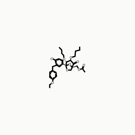 CCCCO[C@@H]1[C@@H](OCCCC)C(=O)[C@]2(COC(C)=O)CO[C@@]1(c1ccc(Cl)c(Cc3ccc(OCC)cc3)c1)O2